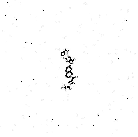 CNC(=O)[C@]1(C)CC[C@@H](Nc2ncc3c(Br)nn(-c4ccc5c(c4)CN(C(=O)C4CN(C(=O)C(F)(F)F)C4)CC5)c3n2)C1